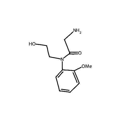 COc1ccccc1N(CCO)C(=O)CN